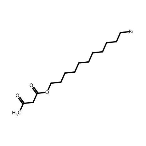 CC(=O)CC(=O)OCCCCCCCCCCCBr